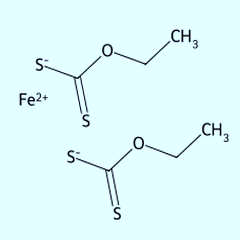 CCOC(=S)[S-].CCOC(=S)[S-].[Fe+2]